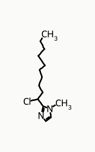 CCCCCCCCCC(Cl)c1nccn1C